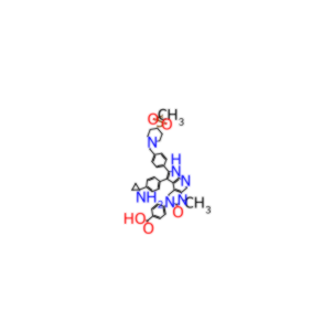 CN1C(=O)N(c2ccc(C(=O)O)cc2)Cc2c1cnc1[nH]c(-c3ccc(CN4CCC(S(C)(=O)=O)CC4)cc3)c(-c3ccc(C4(N)CC4)cc3)c21